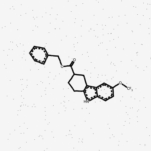 O=C(OCc1ccccc1)C1CCc2[nH]c3ccc(OC(F)(F)F)cc3c2C1